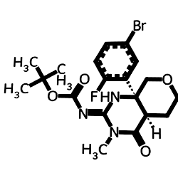 CN1C(=O)[C@@H]2CCOC[C@]2(c2cc(Br)ccc2F)N/C1=N\C(=O)OC(C)(C)C